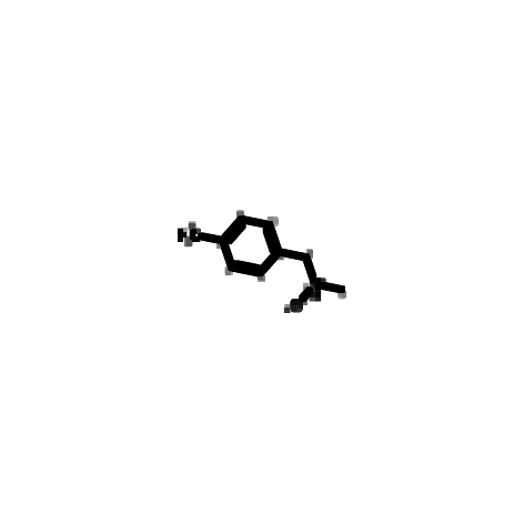 C[NH+]([O-])Cc1ccc(C(F)(F)F)cc1